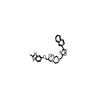 Cc1nc2cc(OCC(O)CN3CCN(Cc4nc(-c5ccc6ccccc6c5)no4)CC3)ccc2s1